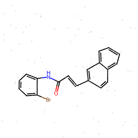 O=C(C=Cc1ccc2ccccc2c1)Nc1ccccc1Br